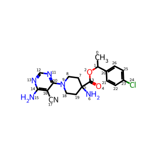 CC(OC(=O)C1(N)CCN(c2ncnc(N)c2C#N)CC1)c1ccc(Cl)cc1